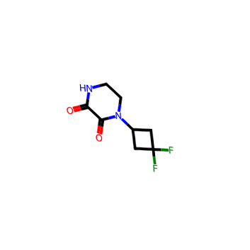 O=C1NCCN(C2CC(F)(F)C2)C1=O